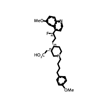 COc1ccc(CCCCN2CC[C@@H](CC[C@@H](F)c3ccnc4ccc(OC)cc34)[C@@H](CC(=O)O)C2)cc1